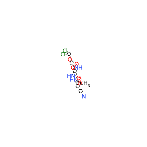 COC(=O)[C@H](Cc1ccc(-c2ccc(C#N)cc2)cc1)NC(=O)C1Cc2cc3c(cc2CN1)OC(c1ccc(OCc2ccc(Cl)c(Cl)c2)cc1)C(=O)N3